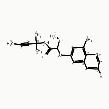 Bc1cc(OC(SC)C(=O)NC(C)(C)C#CC)cc2cc(I)cnc12